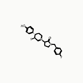 O=C1C(N2CC[C@@H](c3ccc(O)cc3)[C@H](F)C2)CCN1Cc1ccc(F)cc1